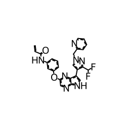 C=CC(=O)Nc1cccc(Oc2cnc3[nH]cc(-c4cn(Cc5ccccn5)nc4C(F)F)c3n2)c1